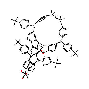 CC(C)(C)c1ccc(N(c2ccc(C(C)(C)C)cc2)c2ccc3c(c2)C2(C)c4cc(ccc4-3)N(c3ccc(C(C)(C)C)cc3)c3ccc(cc3)C(C)(C)CC(C)(C)c3ccc(cc3)N(c3ccc(C(C)(C)C)cc3)c3ccc4c(c3)C2(C)c2cc(N(c3ccc(C(C)(C)C)cc3)c3ccc(C(C)(C)C)cc3)ccc2-4)cc1